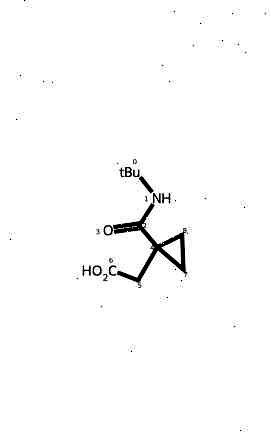 CC(C)(C)NC(=O)C1(CC(=O)O)CC1